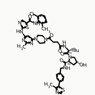 Cc1nc(Nc2ncc(C(=O)Nc3c(C)cccc3Cl)s2)cc(N2CCN(C(=O)CCC(=O)N[C@H](C(=O)N3C[C@H](O)C[C@H]3C(=O)NCc3ccc(-c4scnc4C)cc3)C(C)(C)C)CC2)n1